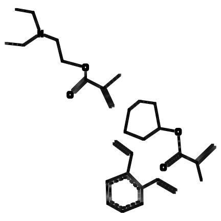 C=C(C)C(=O)OC1CCCCC1.C=C(C)C(=O)OCCN(CC)CC.C=Cc1ccccc1C=C